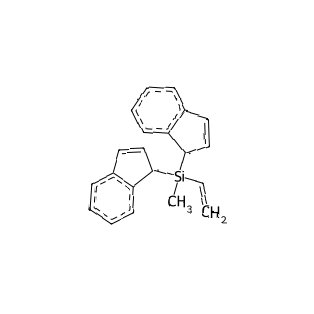 C=C[Si](C)([C]1C=Cc2ccccc21)[C]1C=Cc2ccccc21